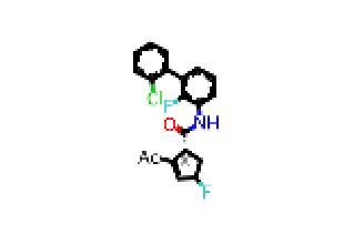 CC(=O)C1=CC(F)C[C@H]1C(=O)Nc1cccc(-c2ccccc2Cl)c1F